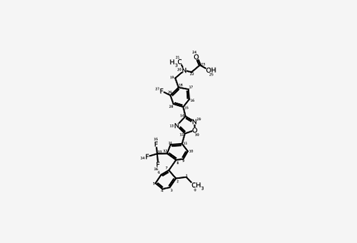 CCc1ccccc1-c1ccc(-c2nc(-c3ccc(CN(C)CC(=O)O)c(F)c3)no2)cc1C(F)(F)F